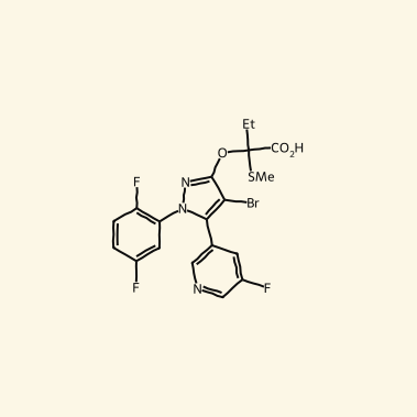 CCC(Oc1nn(-c2cc(F)ccc2F)c(-c2cncc(F)c2)c1Br)(SC)C(=O)O